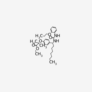 CCCCCCCC(NC(=O)Nc1ccccc1OCCC)c1ccc(OC(C)(C)C(=O)OCC)cc1